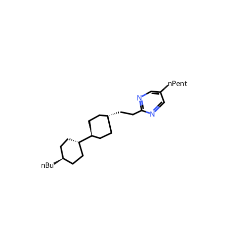 CCCCCc1cnc(CC[C@H]2CC[C@H]([C@H]3CC[C@H](CCCC)CC3)CC2)nc1